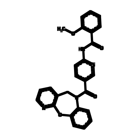 COc1ccccc1C(=O)Nc1ccc(C(=O)N2Cc3cccnc3Oc3ccccc32)cn1